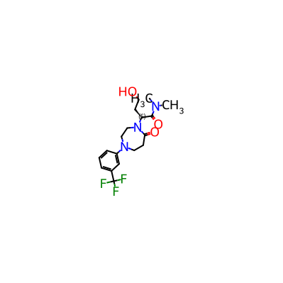 CN(C)C(=O)[C@H](CCO)N1CCN(c2cccc(C(F)(F)F)c2)CCC1=O